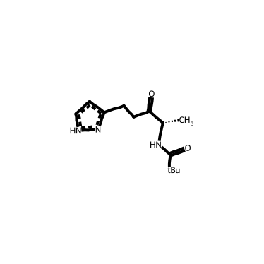 C[C@H](NC(=O)C(C)(C)C)C(=O)CCc1cc[nH]n1